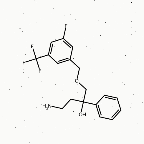 NCCC(O)(COCc1cc(F)cc(C(F)(F)F)c1)c1ccccc1